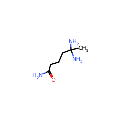 CC(N)(N)CCCC(N)=O